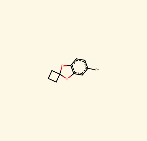 CCc1ccc2c(c1)OC1(CCC1)O2